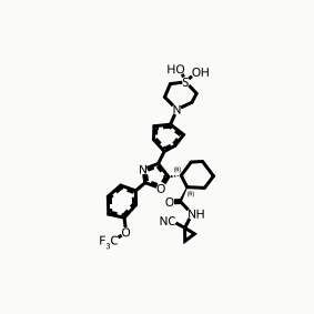 N#CC1(NC(=O)[C@@H]2CCCC[C@H]2c2oc(-c3cccc(OC(F)(F)F)c3)nc2-c2ccc(N3CCS(O)(O)CC3)cc2)CC1